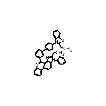 CCc1nc2ccccc2n1-c1ccc(-c2cccc(-c3nc4ccccc4c4ccc5c(nc(CC)n5-c5ccccc5)c34)c2)cc1